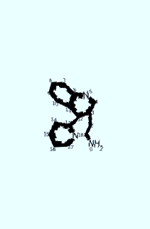 NCCc1cnc2ccccc2c1-c1ccccn1